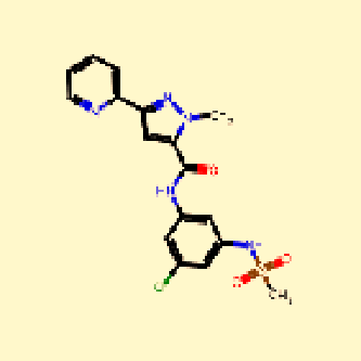 Cn1nc(-c2ccccn2)cc1C(=O)Nc1cc(Cl)cc(NS(C)(=O)=O)c1